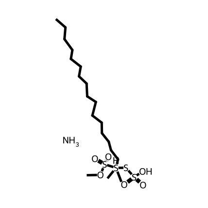 CCCCCCCCCCCCCCCC[SH](C)(C)(SS(=O)(=O)O)S(=O)(=O)OC.N